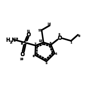 CCOc1cccc(S(N)(=O)=O)c1CC